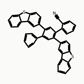 N#Cc1ccccc1-c1cc(-c2ccc3sc4ccccc4c3c2)c(-c2ccccc2)cc1-c1ccc2sc3ccccc3c2c1